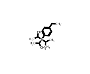 [CH2]Cc1ccc([Si](C(C)C)(C(C)C)C(C)C)cc1